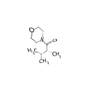 CC(C)[C@@H](C)C(=O)N1CCOCC1